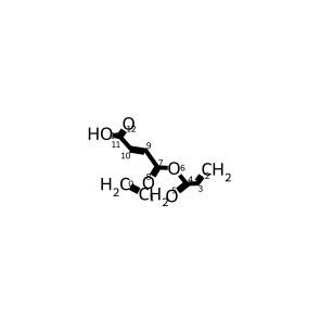 C=C.C=CC(=O)OC(=O)C=CC(=O)O